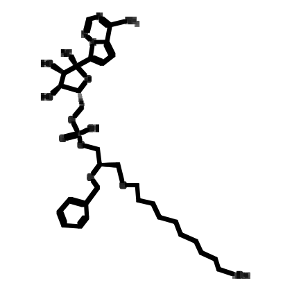 CCCCCCCCCCCCCCCCCCCCOC[C@H](COP(=O)(O)OC[C@H]1O[C@@](C#N)(c2ccc3c(N)ncnn23)[C@H](O)[C@@H]1O)OCc1ccccc1